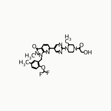 Cc1ccc(OC(F)F)c(Cn2c3nc(-c4cnc(N5CCN(C(=O)CO)CC5C)nc4)ccc3c(=O)n2C)c1